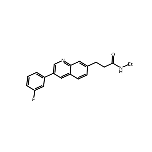 CCNC(=O)CCc1ccc2cc(-c3cccc(F)c3)cnc2c1